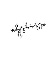 NC(CC(=O)NCCCCC(O)CO)C(=O)O